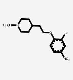 O=C(O)N1CCC(CCOc2ccc([N+](=O)[O-])cc2Br)CC1